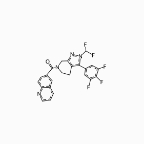 O=C(c1ccc2ncccc2c1)N1CCc2c(nn(C(F)F)c2-c2cc(F)c(F)c(F)c2)C1